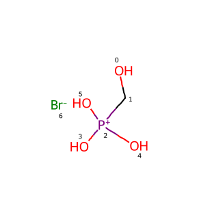 OC[P+](O)(O)O.[Br-]